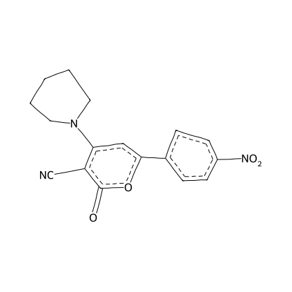 N#Cc1c(N2CCCCC2)cc(-c2ccc([N+](=O)[O-])cc2)oc1=O